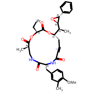 COc1ccc(C[C@H]2NC(=O)/C=C/C[C@@H]([C@H](C)[C@H]3O[C@@H]3c3ccccc3)OC(=O)[C@H](CC(C)C)OC(=O)[C@H](C)CNC2=O)cc1C